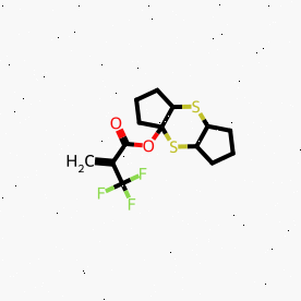 C=C(C(=O)OC12CCCC1SC1CCCC1S2)C(F)(F)F